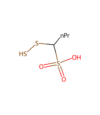 CCCC(SS)S(=O)(=O)O